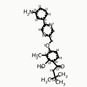 Cc1c(OCc2cnc(-c3cccc(N)c3)cn2)ccc(C(=O)CC(C)(C)C)c1O